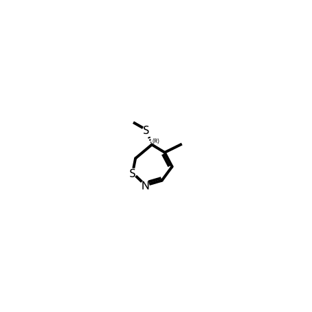 CS[C@H]1CSN=CC=C1C